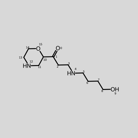 O=C(CCNCCCCO)C1CNCCO1